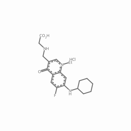 CCn1cc(CNCC(=O)O)c(=O)c2cc(F)c(NC3CCCCC3)cc21.Cl